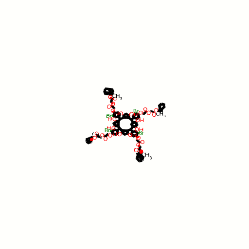 CC1(OC(=O)COC(=O)COc2ccc(C3c4cc(c(O)cc4O)C(c4ccc(OCC(=O)OCC(=O)OC5(C)C6CC7CC(C6)CC5C7)c(Br)c4)c4cc(c(O)cc4O)C(c4ccc(OCC(=O)OCC(=O)OC5(C)C6CC7CC=C6C5C7)c(Br)c4)c4cc(c(O)cc4O)C(c4ccc(OCC(=O)OCC(=O)OC5(C)C6CC=C7C(C6)CC75)c(Br)c4)c4cc3c(O)cc4O)cc2Br)C=C2C3CC2CC1C3